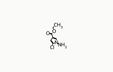 CCOC(=O)c1cc(Cl)n(N)c1